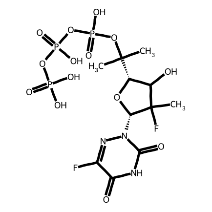 CC(C)(OP(=O)(O)OP(=O)(O)OP(=O)(O)O)[C@H]1O[C@@H](n2nc(F)c(=O)[nH]c2=O)C(C)(F)C1O